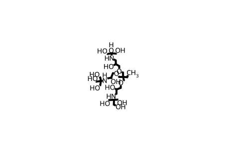 CCC(COCC(O)CNC(O)(CO)CO)(COCC(O)CNC(CO)(CO)CO)COCC(O)CNC(CO)(CO)CO